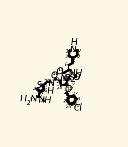 CS(=O)(=O)N[C@H](CC=C1CCNCC1)C(=O)N1C[C@H](OCc2ccc(Cl)cc2)C[C@H]1C(=O)NCc1cc(C(=N)N)cs1